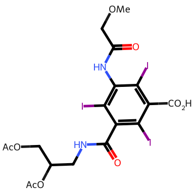 COCC(=O)Nc1c(I)c(C(=O)O)c(I)c(C(=O)NCC(COC(C)=O)OC(C)=O)c1I